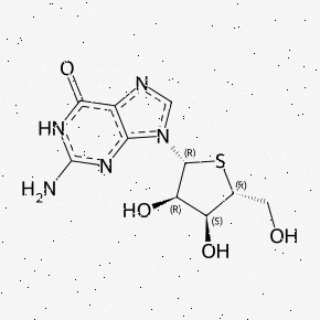 Nc1nc2c(ncn2[C@@H]2S[C@H](CO)[C@@H](O)[C@H]2O)c(=O)[nH]1